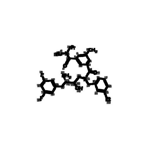 CCCCN(CCC)C(=O)c1cc(C)cc(C(=O)N(Cc2cccc(CC)c2)C[C@@H](O)[C@@H](N)Cc2cc(F)cc(F)c2)c1